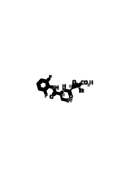 CC[C@@]1(C(=O)O)O[C@H]1C(=O)N[C@@H](CC(C)C)C(=O)Nc1c(F)cccc1F